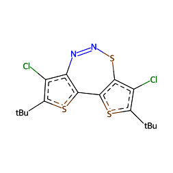 CC(C)(C)c1sc2c(c1Cl)N=NSc1c-2sc(C(C)(C)C)c1Cl